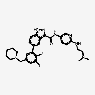 CN(C)CCNc1ccc(NC(=O)c2n[nH]c3ccc(-c4cc(CN5CCCCC5)cc(F)c4F)cc23)cn1